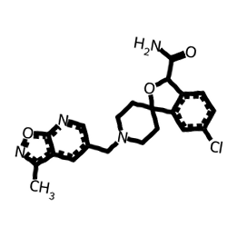 Cc1noc2ncc(CN3CCC4(CC3)OC(C(N)=O)c3ccc(Cl)cc34)cc12